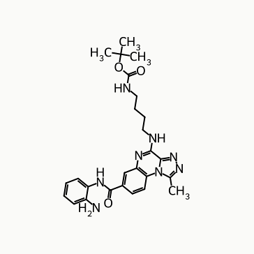 Cc1nnc2c(NCCCCNC(=O)OC(C)(C)C)nc3cc(C(=O)Nc4ccccc4N)ccc3n12